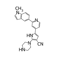 Cn1ccc2cc(-c3cc(-c4cc(C#N)c(N5CCNCC5)[nH]4)ccn3)ccc21